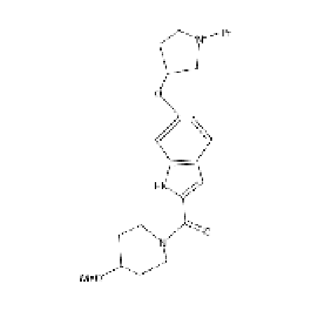 COC1CCN(C(=O)c2cc3ccc(OC4CCN(C(C)C)C4)cc3[nH]2)CC1